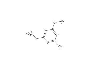 CC(C)Oc1cc(O)cc(CC(=O)O)c1